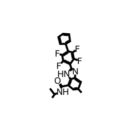 Cc1cc(C(=O)NC(C)C)c2[nH]c(-c3c(F)c(F)c(-c4ccccc4)c(F)c3F)nc2c1